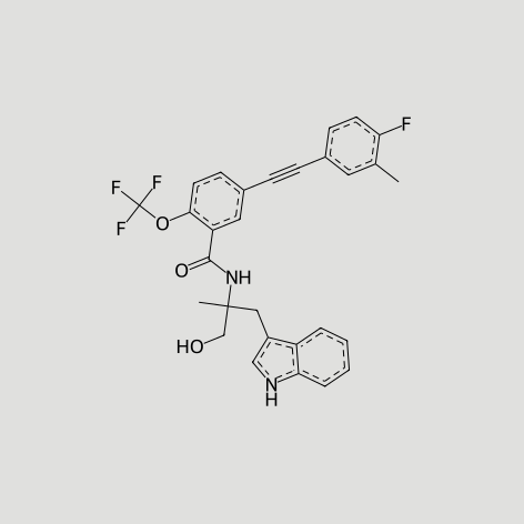 Cc1cc(C#Cc2ccc(OC(F)(F)F)c(C(=O)NC(C)(CO)Cc3c[nH]c4ccccc34)c2)ccc1F